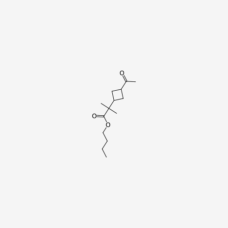 CCCCOC(=O)C(C)(C)C1CC(C(C)=O)C1